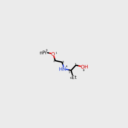 CCCOCCNC(CC)CO